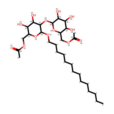 CCCCCCCCCCCCCCOC1OC(COC(C)=O)C(O)C(O)C1OC1OC(COC(C)=O)C(O)C(O)C1O